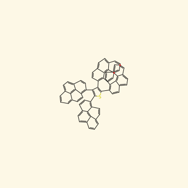 c1cc2ccc3ccc(-c4sc(-c5ccc6ccc7cccc8ccc5c6c78)c(-c5ccc6ccc7cccc8ccc5c6c78)c4-c4ccc5ccc6cccc7ccc4c5c67)c4ccc(c1)c2c34